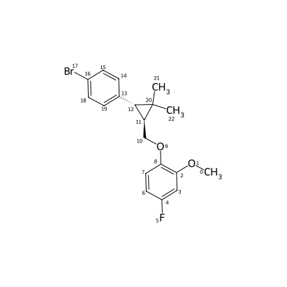 COc1cc(F)ccc1OC[C@H]1[C@H](c2ccc(Br)cc2)C1(C)C